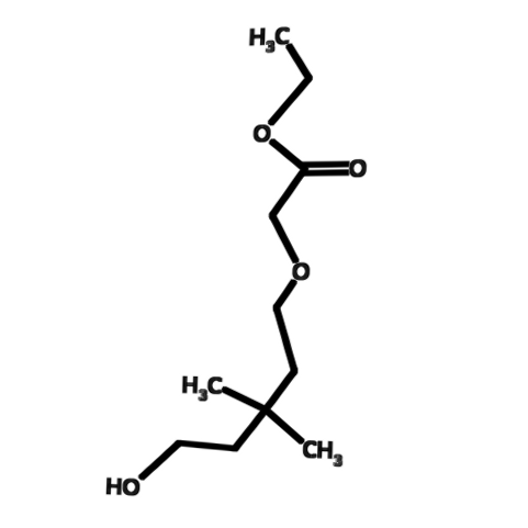 CCOC(=O)COCCC(C)(C)CCO